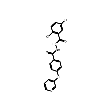 O=C(NNC(=O)c1cc(Cl)ccc1Cl)c1ccc(Oc2cccnc2)cc1